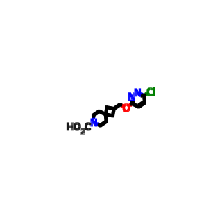 O=C(O)N1CCC2(CC1)CC(COc1ccc(Cl)nn1)C2